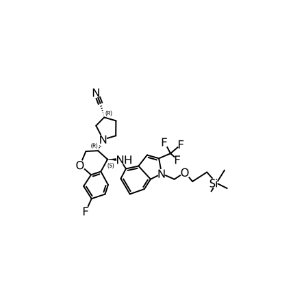 C[Si](C)(C)CCOCn1c(C(F)(F)F)cc2c(N[C@H]3c4ccc(F)cc4OC[C@@H]3N3CC[C@@H](C#N)C3)cccc21